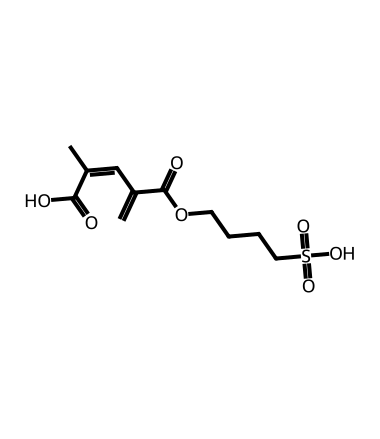 C=C(C=C(C)C(=O)O)C(=O)OCCCCS(=O)(=O)O